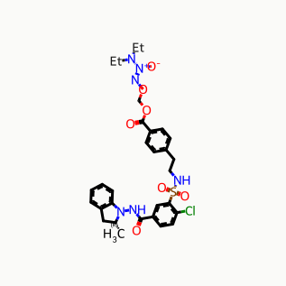 CCN(CC)[N+]([O-])=NOCOC(=O)c1ccc(CCNS(=O)(=O)c2cc(C(=O)NN3c4ccccc4C[C@H]3C)ccc2Cl)cc1